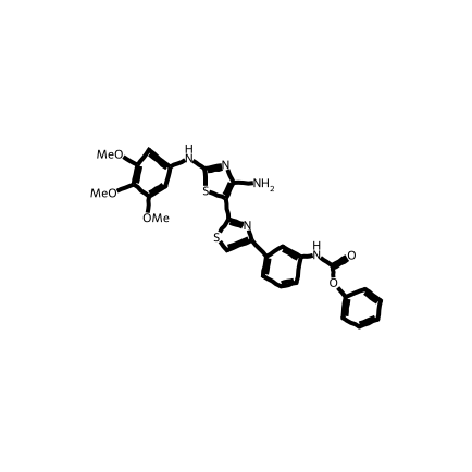 COc1cc(Nc2nc(N)c(-c3nc(-c4cccc(NC(=O)Oc5ccccc5)c4)cs3)s2)cc(OC)c1OC